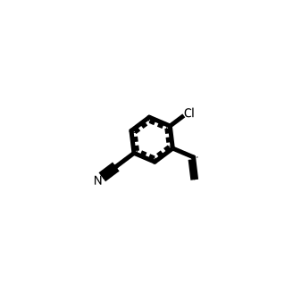 C=[C]c1cc(C#N)ccc1Cl